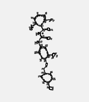 O=C(NC(=O)c1c(F)cccc1F)Nc1ccc(OCc2ccc(Cl)cc2)c(C(F)(F)F)c1